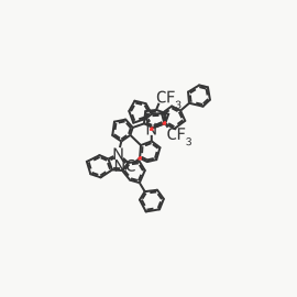 N#Cc1cccc(-n2c3ccccc3c3cc(-c4ccccc4)ccc32)c1-c1c(-c2cc(C(F)(F)F)cc(C(F)(F)F)c2)cccc1-n1c2ccccc2c2cc(-c3ccccc3)ccc21